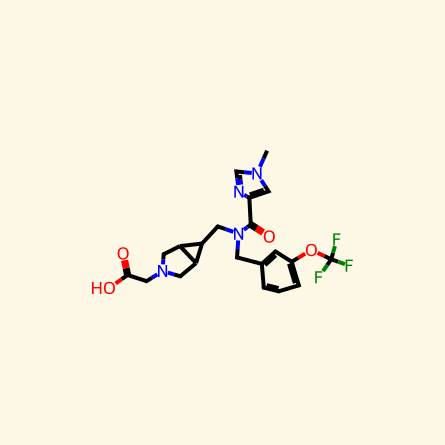 Cn1cnc(C(=O)N(Cc2cccc(OC(F)(F)F)c2)CC2C3CN(CC(=O)O)CC32)c1